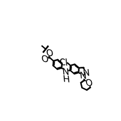 CC(C)(C)OC(=O)c1ccc(Nc2cc3c(cnn3C3CCCCO3)cc2Cl)cc1